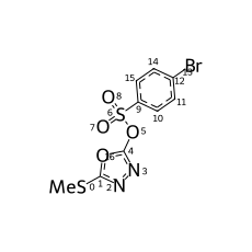 CSc1nnc(OS(=O)(=O)c2ccc(Br)cc2)o1